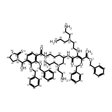 C=C(OCc1ccccc1)/C(OCc1ccccc1)=C(\NCCN(CCN)CCN)C(=O)NC(CCCNC(=O)c1ccc(C(O)N2CCSC2=S)c(OCc2ccccc2)c1OCc1ccccc1)CN(CCN)CCN